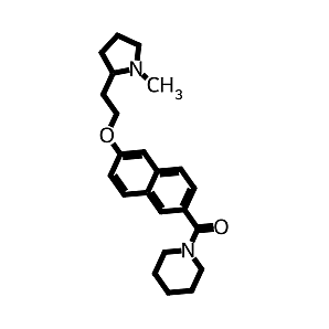 CN1CCCC1CCOc1ccc2cc(C(=O)N3CCCCC3)ccc2c1